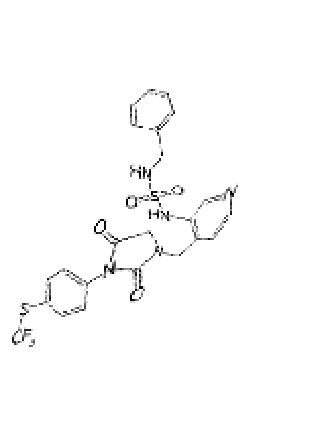 O=C1CN(Cc2ccncc2NS(=O)(=O)NCc2ccccc2)C(=O)N1c1ccc(SC(F)(F)F)cc1